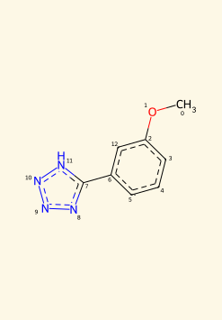 COc1cc[c]c(-c2nnn[nH]2)c1